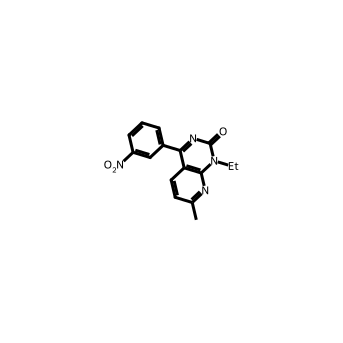 CCn1c(=O)nc(-c2cccc([N+](=O)[O-])c2)c2ccc(C)nc21